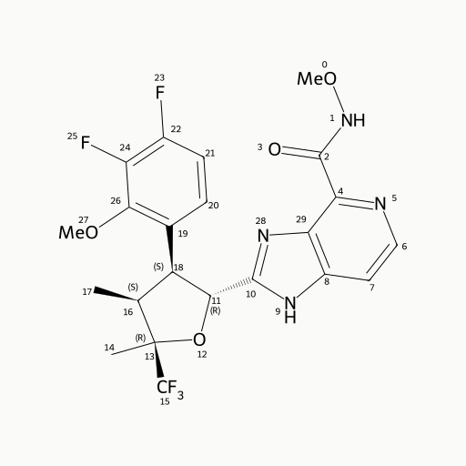 CONC(=O)c1nccc2[nH]c([C@@H]3O[C@@](C)(C(F)(F)F)[C@@H](C)[C@H]3c3ccc(F)c(F)c3OC)nc12